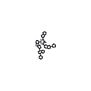 C1=C/C(c2ccc3ccc(-c4ccccc4)cc3c2)=N\C(c2cccc3oc4cc(-c5ccc(-c6ccccc6)c6ccccc56)ccc4c23)=N/C(c2ccc3ccccc3c2)=C/1